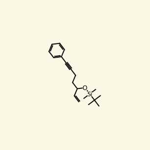 C=CC(CCC#Cc1ccccc1)O[Si](C)(C)C(C)(C)C